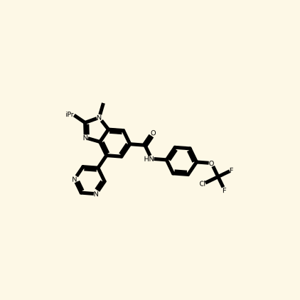 CC(C)c1nc2c(-c3cncnc3)cc(C(=O)Nc3ccc(OC(F)(F)Cl)cc3)cc2n1C